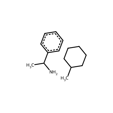 CC(N)c1ccccc1.CC1CCCCC1